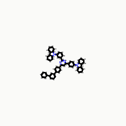 c1ccc(-c2cccc(-c3ccc(-c4cc(-c5ccc(-n6c7ccccc7c7ccccc76)cc5)nc(-c5cccc(-n6c7ccccc7c7ccccc76)c5)n4)cc3)c2)cc1